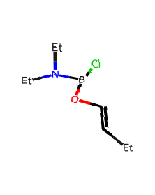 CCC=COB(Cl)N(CC)CC